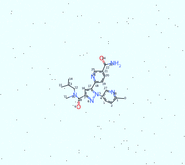 Cc1ccc(-n2nc(C(=O)N(C)CC(C)C)cc2-c2ccc(C(N)=O)cn2)cn1